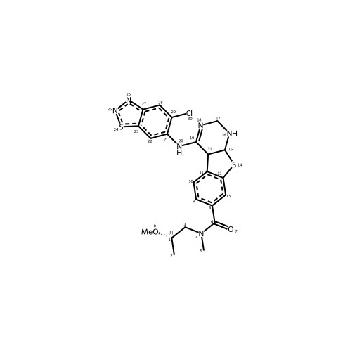 CO[C@@H](C)CN(C)C(=O)c1ccc2c(c1)SC1NCN=C(Nc3cc4snnc4cc3Cl)C21